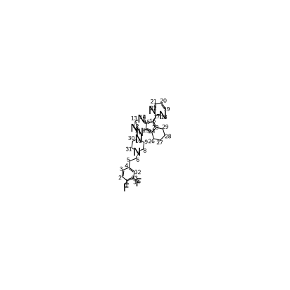 Fc1ccc(CCN2CCN(n3ncnc4c(-c5ncccn5)c5c(c3-4)CCCC5)CC2)cc1F